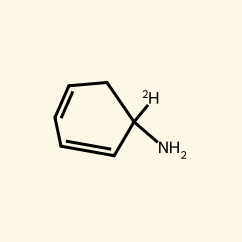 [2H]C1(N)C=CC=CC1